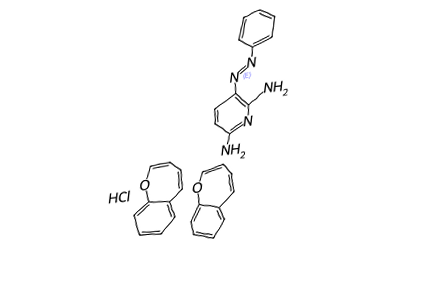 C1=COc2ccccc2C=C1.C1=COc2ccccc2C=C1.Cl.Nc1ccc(/N=N/c2ccccc2)c(N)n1